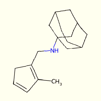 CC1=C(CNC23CC4CC(CC(C4)C2)C3)CC=C1